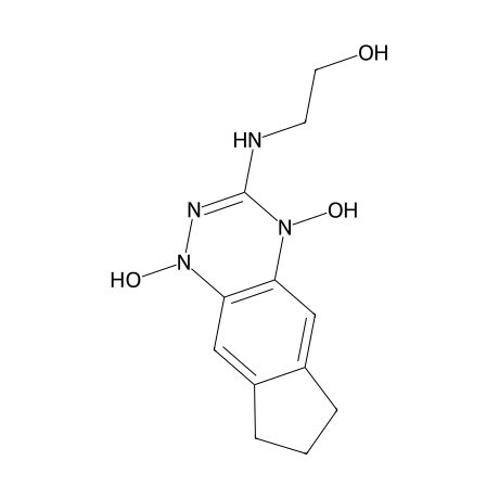 OCCNC1=NN(O)c2cc3c(cc2N1O)CCC3